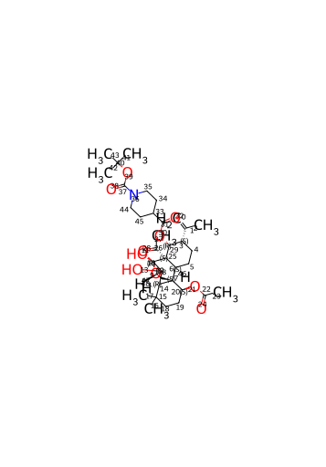 C=C(C)[C@@H]1CC[C@H]2[C@@]34CO[C@@](O)([C@@H](O)[C@@H]3C(C)(C)CC[C@@H]4OC(C)=O)[C@@]2(C(C)=O)[C@@H]1OC(=O)C1CCN(C(=O)OC(C)(C)C)CC1